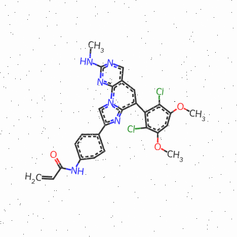 C=CC(=O)Nc1ccc(-c2cn3c(n2)c(-c2c(Cl)c(OC)cc(OC)c2Cl)cc2cnc(NC)nc23)cc1